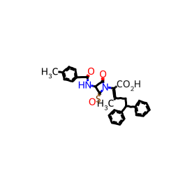 CC(CC(c1ccccc1)c1ccccc1)=C(C(=O)O)N1C(=O)C(NC(=O)c2ccc(C)cc2)C1=S=O